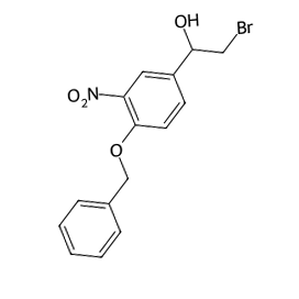 O=[N+]([O-])c1cc(C(O)CBr)ccc1OCc1ccccc1